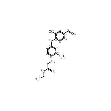 CCOC(=O)COc1ccc(Sc2ccc(C=O)cc2Cl)cc1C